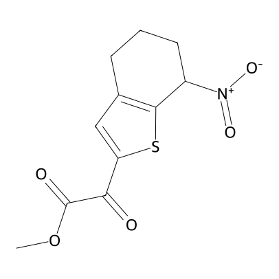 COC(=O)C(=O)c1cc2c(s1)C([N+](=O)[O-])CCC2